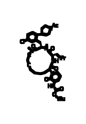 CC(=O)N1CC=C(c2ccc(Cl)cc2C[C@H]2C(=O)N(C)CCCCCCC[C@H](n3cccc(NC(=O)OC(C)(C)C)c3=O)C(=O)N[C@@H](CC(C)C)C(=O)N2C)CC1